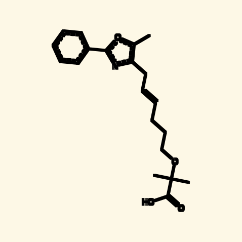 Cc1oc(-c2ccccc2)nc1CC=CCCCOC(C)(C)C(=O)O